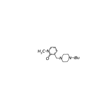 CCC(C)N1CCN(Cc2cccn(C)c2=O)CC1